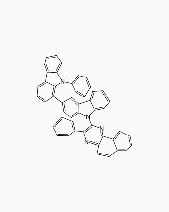 c1ccc(-c2nc3ccc4ccccc4c3nc2-n2c3ccccc3c3cc(-c4cccc5c6ccccc6n(-c6ccccc6)c45)ccc32)cc1